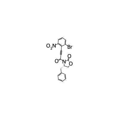 O=C(C#Cc1c(Br)cccc1[N+](=O)[O-])N1C(=O)OC[C@@H]1Cc1ccccc1